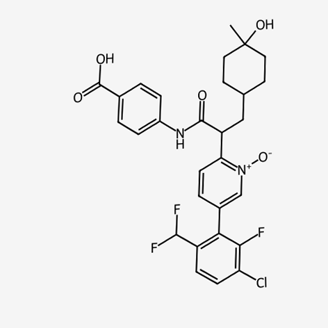 CC1(O)CCC(CC(C(=O)Nc2ccc(C(=O)O)cc2)c2ccc(-c3c(C(F)F)ccc(Cl)c3F)c[n+]2[O-])CC1